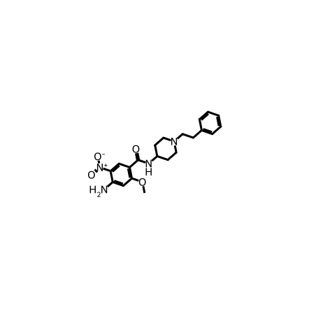 COc1cc(N)c([N+](=O)[O-])cc1C(=O)NC1CCN(CCc2ccccc2)CC1